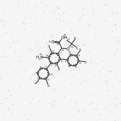 Cc1ccc(-c2c(C)c(-c3ccc(C)c(C)c3)c(C(OC(C)(C)C)C(=O)O)c(C)c2N)cc1C